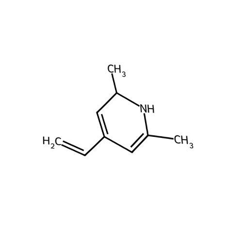 C=CC1=CC(C)NC(C)=C1